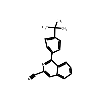 CC(C)(C)c1ccc(-c2nc(C#N)cc3ccccc23)cc1